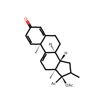 CC(=O)O[C@]1(C(C)=O)C(C)C[C@H]2[C@@H]3CCC4=CC(=O)C=C[C@]4(C)C3=CC[C@@]21C